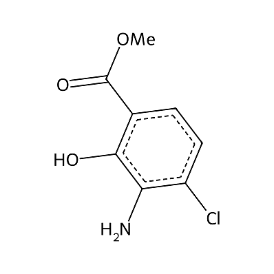 COC(=O)c1ccc(Cl)c(N)c1O